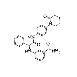 NC(=O)c1cccc(N[C@H](C(=O)Nc2ccc(N3CCCCC3=O)cc2)c2ccccc2)c1